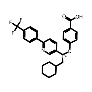 O=C(O)c1ccc(O[C@@H](CC2CCCCC2)c2ccc(-c3ccc(C(F)(F)F)cc3)nc2)cc1